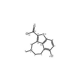 CN1CCc2c(Cl)ccc3sc(C(=O)Cl)c(c23)C1